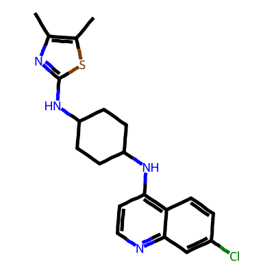 Cc1nc(NC2CCC(Nc3ccnc4cc(Cl)ccc34)CC2)sc1C